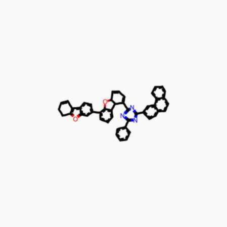 C1=CC2Oc3c(-c4ccc5c6c(oc5c4)CCC=C6)cccc3C2C(c2nc(-c3ccccc3)nc(-c3ccc4ccc5ccccc5c4c3)n2)=C1